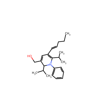 CCC/C=C/C1=C(C(C)C)N(c2ccccc2)C(C(C)C)C(CO)=C1